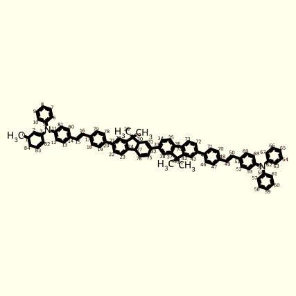 CC1C=C(N(c2ccccc2)c2ccc(/C=C/c3ccc(-c4ccc5c(c4)C(C)(C)C4C=C(c6ccc7c(c6)C(C)(C)c6cc(-c8ccc(/C=C/c9ccc(N(c%10ccccc%10)c%10ccccc%10)cc9)cc8)ccc6-7)C=CC54)cc3)cc2)C=CC1